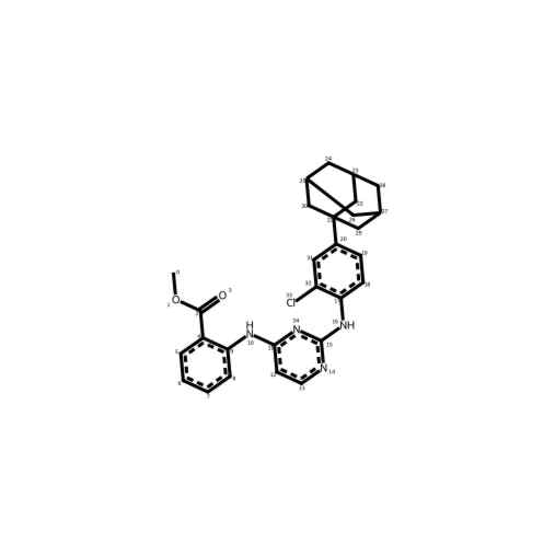 COC(=O)c1ccccc1Nc1ccnc(Nc2ccc(C34CC5CC(CC(C5)C3)C4)cc2Cl)n1